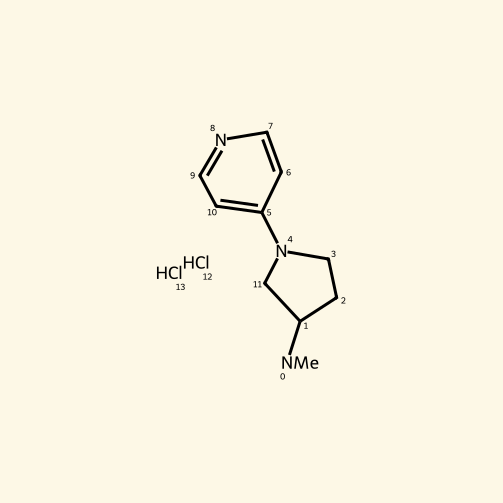 CNC1CCN(c2ccncc2)C1.Cl.Cl